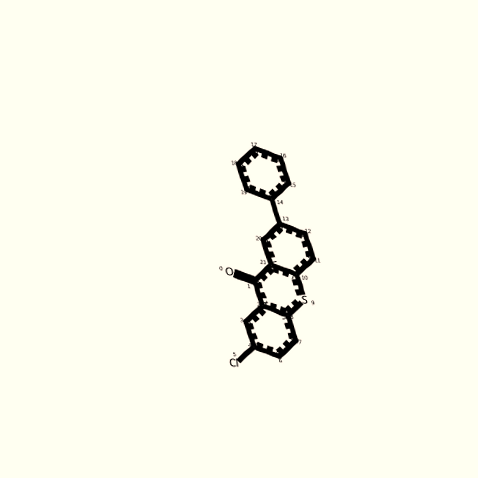 O=c1c2cc(Cl)ccc2sc2ccc(-c3ccccc3)cc12